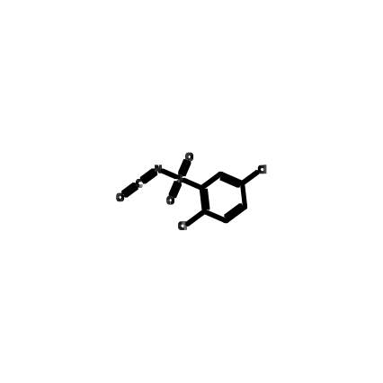 O=C=NS(=O)(=O)c1cc(Cl)ccc1Cl